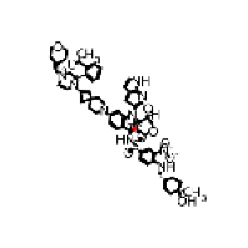 CC(C)c1ccccc1[C@@H]1CN(CC2CCOCC2)CCN1C1CC2(CCN(c3ccc(C(=O)NS(=O)(=O)c4ccc(NC[C@H]5CC[C@](C)(O)CC5)c([N+](=O)[O-])c4)c(N4c5cc6cc[nH]c6nc5O[C@H]5COCC[C@@H]54)c3)CC2)C1